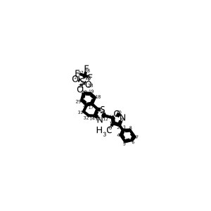 Cc1c(-c2ccccc2)noc1-c1nc2c(s1)-c1ccc(OS(=O)(=O)C(F)(F)F)cc1CC2